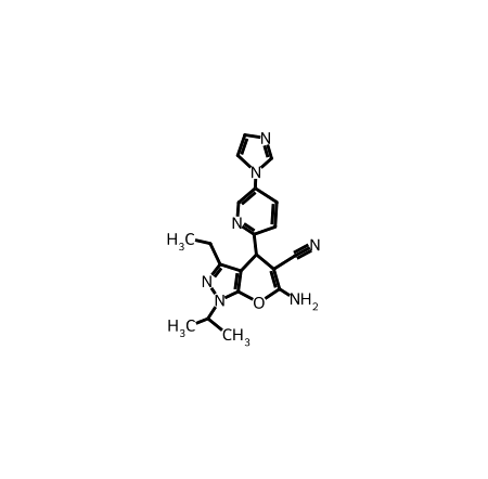 CCc1nn(C(C)C)c2c1C(c1ccc(-n3ccnc3)cn1)C(C#N)=C(N)O2